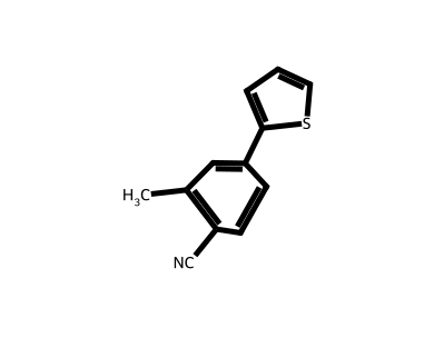 Cc1cc(-c2cccs2)ccc1C#N